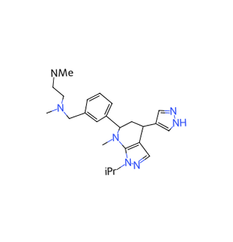 CNCCN(C)Cc1cccc(C2CC(c3cn[nH]c3)c3cnn(C(C)C)c3N2C)c1